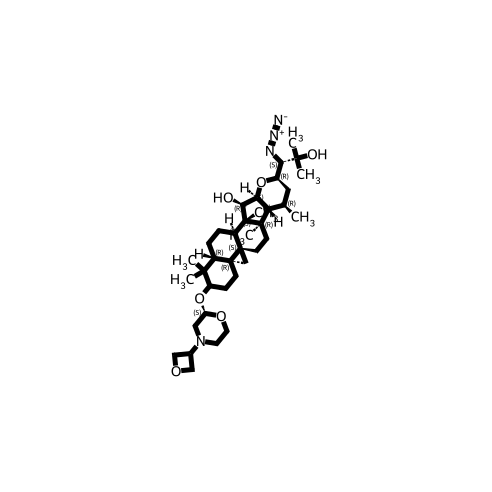 C[C@@H]1C[C@H]([C@H](N=[N+]=[N-])C(C)(C)O)O[C@H]2[C@H]1[C@@]1(C)CC[C@@]34C[C@@]35CCC(O[C@H]3CN(C6COC6)CCO3)C(C)(C)[C@@H]5CC[C@H]4[C@]1(C)[C@H]2O